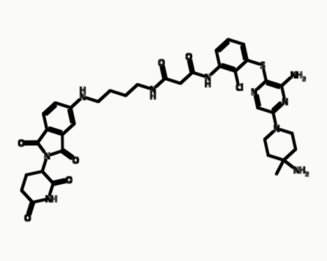 CC1(N)CCN(c2cnc(Sc3cccc(NC(=O)CC(=O)NCCCCNc4ccc5c(c4)C(=O)N(C4CCC(=O)NC4=O)C5=O)c3Cl)c(N)n2)CC1